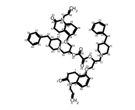 C=CCN1C(=O)CCc2c(OCC(CN3CCC(Cc4ccccc4)CC3)OC(=O)C(=O)OC(COc3cccc4c3CCC(=O)N4CC=C)CN3CCC(Cc4ccccc4)CC3)cccc21